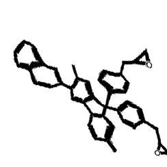 Cc1ccc2c(c1)C(c1ccc(CC3CO3)cc1)(c1ccc(CC3CO3)cc1)c1cc(C)c(-c3ccc4ccccc4c3)cc1-2